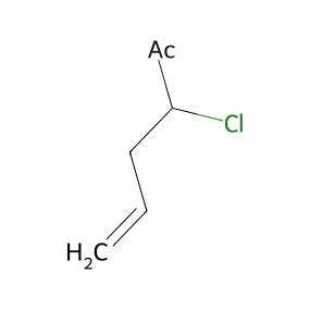 C=CCC(Cl)C(C)=O